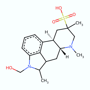 CC1C2C[C@@H]3[C@H](CC(C)(S(=O)(=O)O)CN3C)c3cccc(c32)N1CO